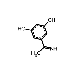 CC(=N)c1cc(O)cc(O)c1